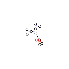 O=S(=O)(c1ccccc1)c1cccc2cccc(-c3ccc(C#Cc4ccc(N(c5ccc(N(c6ccccc6)c6ccccc6)cc5)c5ccc(N(c6ccccc6)c6ccccc6)cc5)cc4)cc3)c12